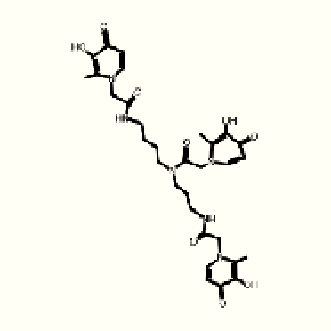 Cc1c(O)c(=O)ccn1CC(=O)NCCCCN(CCCNC(=O)Cn1ccc(=O)c(O)c1C)C(=O)Cn1ccc(=O)c(O)c1C